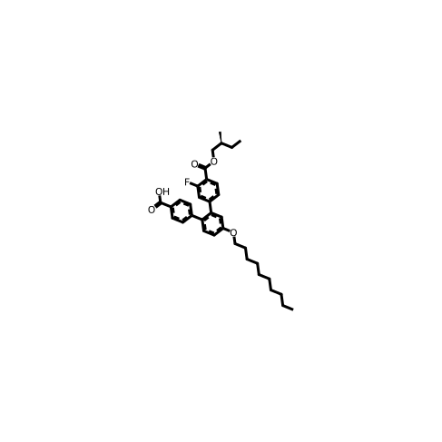 CCCCCCCCCCOc1ccc(-c2ccc(C(=O)O)cc2)c(-c2ccc(C(=O)OC[C@@H](C)CC)c(F)c2)c1